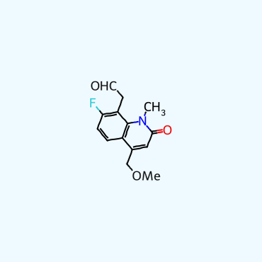 COCc1cc(=O)n(C)c2c(CC=O)c(F)ccc12